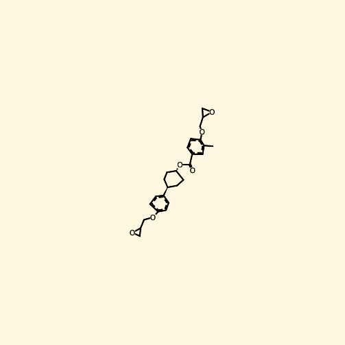 Cc1cc(C(=O)O[C@H]2CC[C@H](c3ccc(OCC4CO4)cc3)CC2)ccc1OCC1CO1